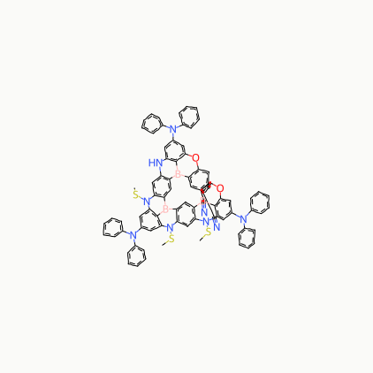 CSN1c2cc3c(cc2B2c4cc(C#N)ccc4Oc4cc(N(c5ccccc5)c5ccccc5)cc1c42)B1c2cc4c(cc2N(SC)c2cc(N(c5ccccc5)c5ccccc5)cc(c21)N3SC)Nc1cc(N(c2ccccc2)c2ccccc2)cc2c1B4c1cc(C#N)ccc1O2